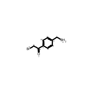 BCc1ccc(C(=O)CBr)cc1